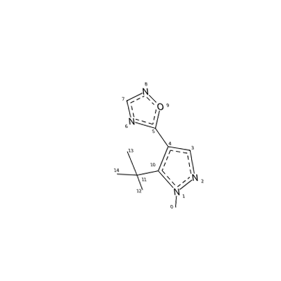 Cn1ncc(-c2ncno2)c1C(C)(C)C